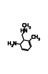 CNCC1C(C)=CC=CC1N